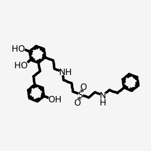 O=S(=O)(CCCNCCc1ccc(O)c(O)c1CCc1cccc(O)c1)CCNCCc1ccccc1